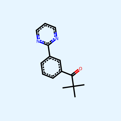 CC(C)(C)C(=O)c1cccc(-c2ncccn2)c1